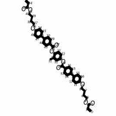 C=CC(=O)OCCCCOc1ccc(-c2ccc(C(=O)Oc3ccc(OC(=O)c4ccc(-c5ccc(OCCCCOC(=O)C=C)cc5)cc4)c(C)c3)cc2)cc1